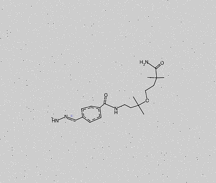 CN/N=C/c1ccc(C(=O)NCCC(C)(C)OCCC(C)(C)C(N)=O)cc1